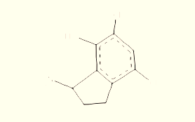 Cl.NC1CCc2c(Cl)cc(Cl)c(O)c21